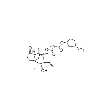 C=C[C@]1(C)C[C@@H](OC(=O)NC(=O)O[C@H]2CC[C@H](N)C2)[C@]2(C)[C@H](C)CC[C@]3(CCC(=O)[C@H]32)[C@@H](C)[C@@H]1O